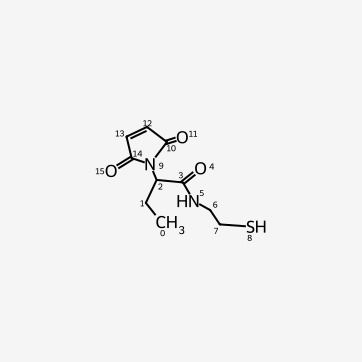 CCC(C(=O)NCCS)N1C(=O)C=CC1=O